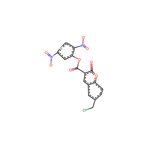 O=C(Oc1cc([N+](=O)[O-])ccc1[N+](=O)[O-])c1cc2cc(CCl)ccc2oc1=O